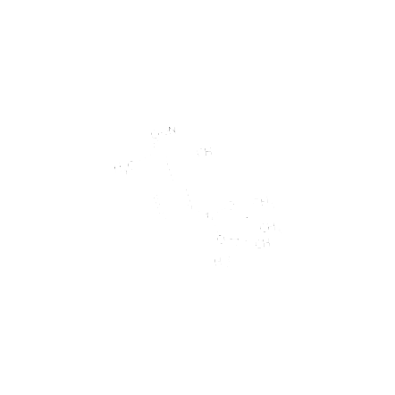 Cc1noc(C)c1-c1cccc(B2OC(C)(C)C(C)(C)O2)c1